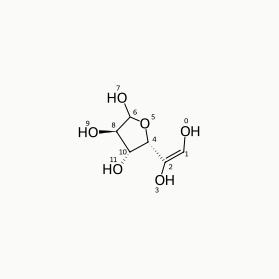 O/C=C(/O)[C@H]1OC(O)[C@H](O)[C@H]1O